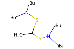 CCC(C)N(SC(C)SN(C(C)CC)C(C)CC)C(C)CC